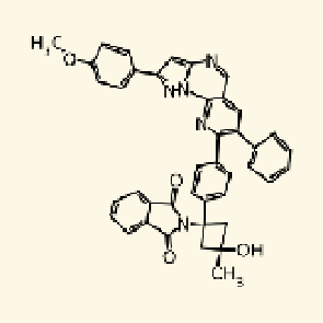 COc1ccc(-c2cc3ncc4cc(-c5ccccc5)c(-c5ccc([C@]6(N7C(=O)c8ccccc8C7=O)C[C@](C)(O)C6)cc5)nc4n3n2)cc1